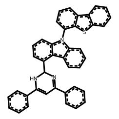 C1=C(c2ccccc2)NC(c2cccc3c2c2ccccc2n3-c2cccc3c2sc2ccccc23)N=C1c1ccccc1